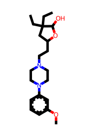 CCC1(CC)CC(CCN2CCN(c3cccc(OC)c3)CC2)OC1O